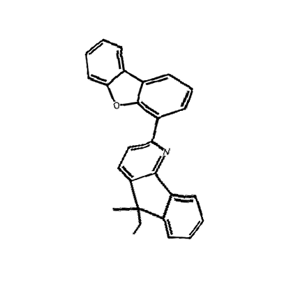 CC1(C)c2ccccc2-c2nc(-c3cccc4c3oc3ccccc34)ccc21